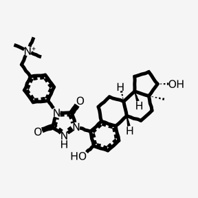 C[C@]12CC[C@@H]3c4ccc(O)c(-n5[nH]c(=O)n(-c6ccc(C[N+](C)(C)C)cc6)c5=O)c4CC[C@H]3[C@@H]1CC[C@@H]2O